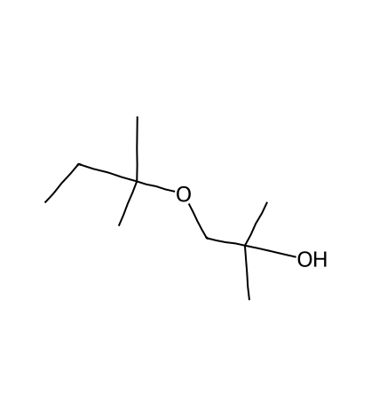 CCC(C)(C)OCC(C)(C)O